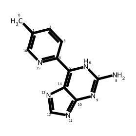 Cc1ccc(-c2[nH]c(N)nc3ncnc2-3)nc1